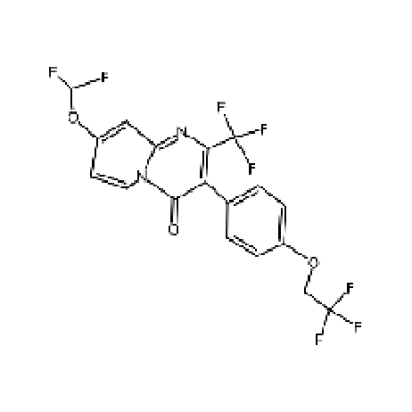 O=c1c(-c2ccc(OCC(F)(F)F)cc2)c(C(F)(F)F)nc2cc(OC(F)F)ccn12